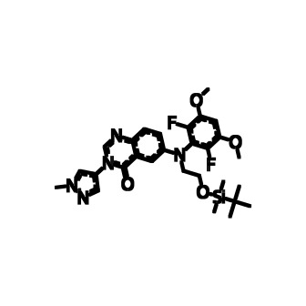 COc1cc(OC)c(F)c(N(CCO[Si](C)(C)C(C)(C)C)c2ccc3ncn(-c4cnn(C)c4)c(=O)c3c2)c1F